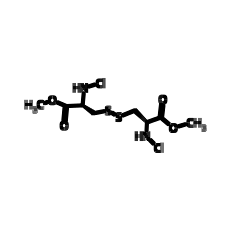 COC(=O)[C@H](CSSC[C@H](NCl)C(=O)OC)NCl